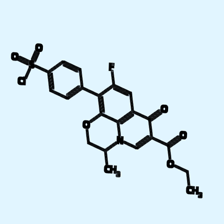 CCOC(=O)c1cn2c3c(c(-c4ccc(S(=O)(=O)Cl)cc4)c(F)cc3c1=O)OCC2C